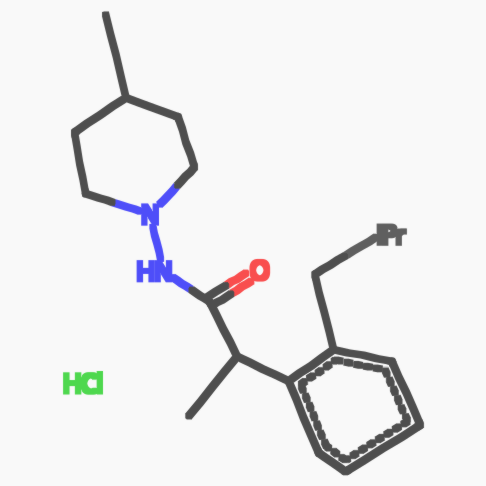 CC(C)Cc1ccccc1C(C)C(=O)NN1CCC(C)CC1.Cl